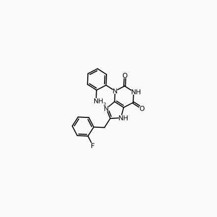 Nc1ccccc1-n1c(=O)[nH]c(=O)c2[nH]c(Cc3ccccc3F)nc21